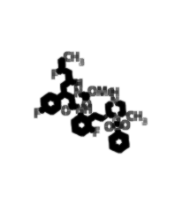 C/C=C(F)\C=C(\F)CC(c1ccc(F)cc1)[C@H](NC(=O)OC)C(=O)Nc1cccc(F)c1CC[C@H]1CNC[C@H](C)N1S(=O)(=O)c1ccccc1